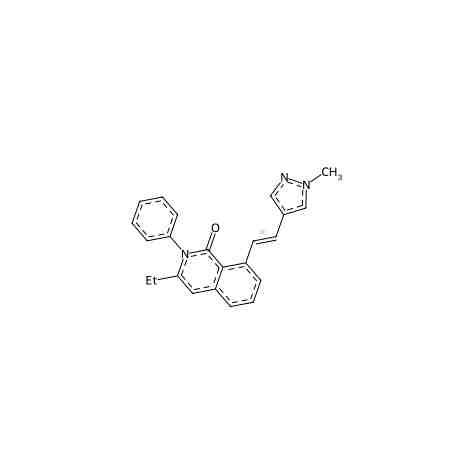 CCc1cc2cccc(/C=C/c3cnn(C)c3)c2c(=O)n1-c1ccccc1